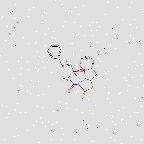 C[C@H](C(=O)N1C(=S)SC2Cc3ccccc3C21)[C@H](O)/C=C/c1ccccc1